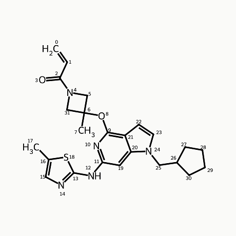 C=CC(=O)N1CC(C)(Oc2nc(Nc3ncc(C)s3)cc3c2ccn3CC2CCCC2)C1